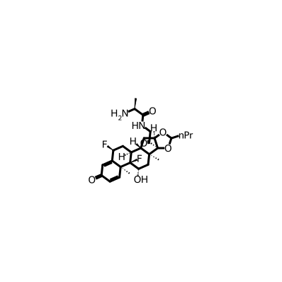 CCCC1O[C@@H]2C[C@H]3[C@@H]4C[C@H](F)C5=CC(=O)C=C[C@]5(C)[C@@]4(F)[C@@H](O)C[C@]3(C)[C@]2(C(=O)CNC(=O)[C@H](C)N)O1